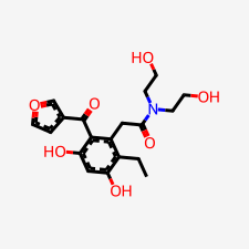 CCc1c(O)cc(O)c(C(=O)c2ccoc2)c1CC(=O)N(CCO)CCO